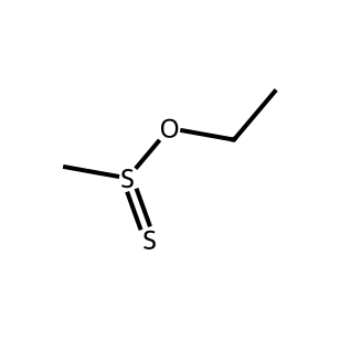 CCOS(C)=S